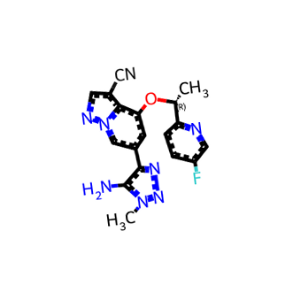 C[C@@H](Oc1cc(-c2nnn(C)c2N)cn2ncc(C#N)c12)c1ccc(F)cn1